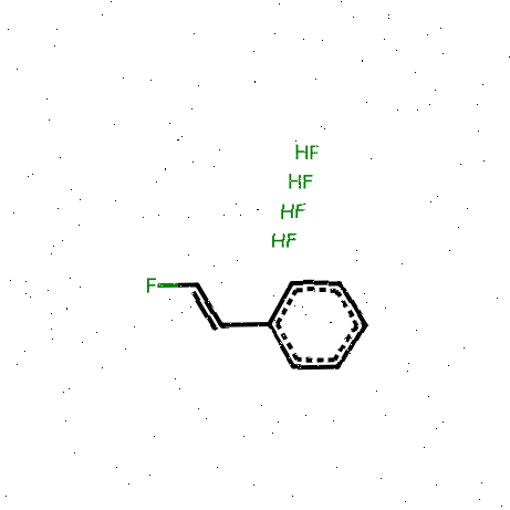 F.F.F.F.FC=Cc1ccccc1